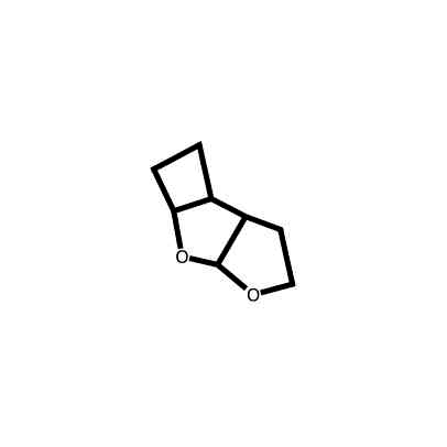 C1CC2C(O1)OC1CCC12